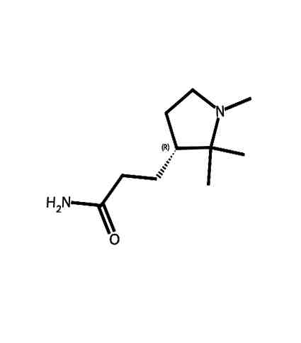 CN1CC[C@@H](CCC(N)=O)C1(C)C